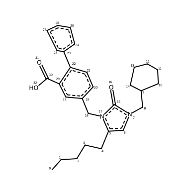 CCCCCc1cn(CC2CCCCC2)c(=O)n1Cc1ccc(-c2ccccc2)c(C(=O)O)c1